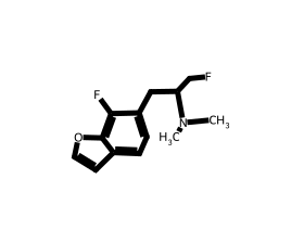 CN(C)C(CF)Cc1ccc2ccoc2c1F